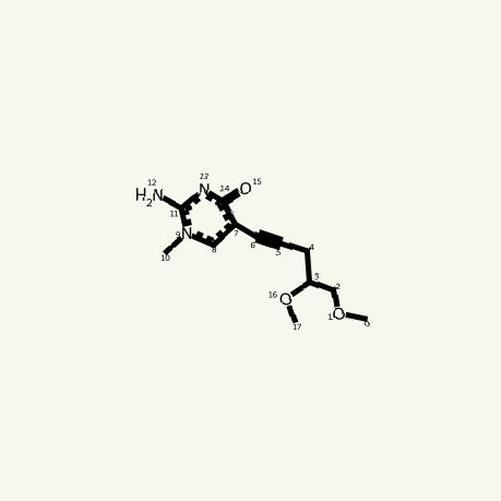 COCC(CC#Cc1cn(C)c(N)nc1=O)OC